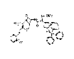 CON=C(C(=O)NC1C(=O)N2C(C(=O)O)=C(CSc3cccc[n+]3[O-])SCC12)c1csc(NC(c2ccccc2)(c2ccccc2)c2ccccc2)n1